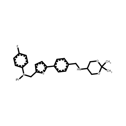 CC(C)N(Cc1ccc(-c2ccc(CNC3COC(C)(C)OC3)cc2)s1)c1ccc(F)cc1